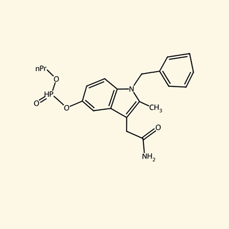 CCCO[PH](=O)Oc1ccc2c(c1)c(CC(N)=O)c(C)n2Cc1ccccc1